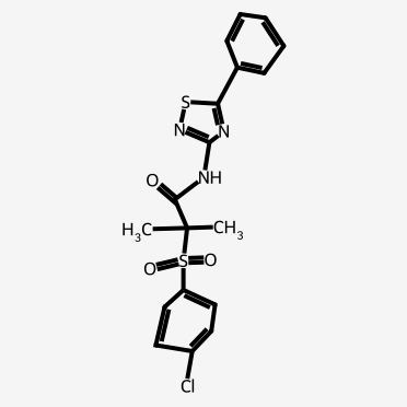 CC(C)(C(=O)Nc1nsc(-c2ccccc2)n1)S(=O)(=O)c1ccc(Cl)cc1